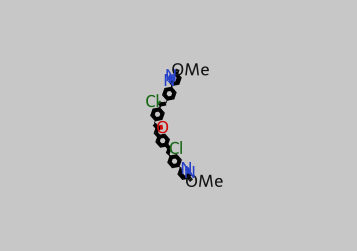 COc1ccc([C@H]2CC[C@H](CC(Cl)C3CCC(CC(=O)C[C@H]4CC[C@H](C(Cl)C[C@H]5CC[C@H](c6ccc(OC)nn6)CC5)CC4)CC3)CC2)nn1